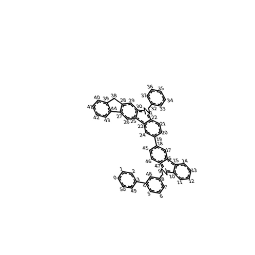 c1ccc(-c2cccc(-n3c4ccccc4c4cc(-c5ccc6c(c5)c5cc7c(cc5n6-c5ccccc5)Cc5ccccc5-7)ccc43)c2)cc1